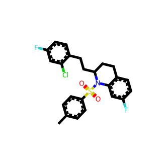 Cc1ccc(S(=O)(=O)N2c3cc(F)ccc3CCC2CCc2ccc(F)cc2Cl)cc1